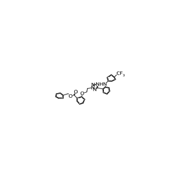 O=C(OCc1ccccc1)c1ccccc1OCCn1nnc(-c2ccccc2Nc2ccc(C(F)(F)F)cc2)n1